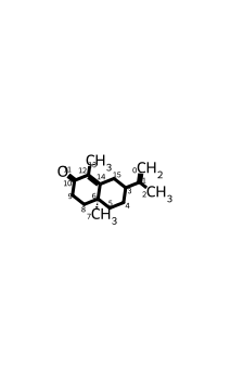 C=C(C)C1CC[C@@]2(C)CCC(=O)C(C)=C2C1